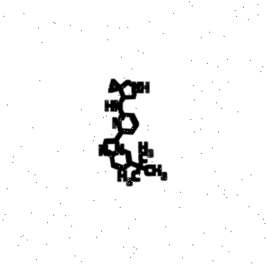 CC(C)(C)c1ccc2ncc(-c3cccc(NC4CNCC45CC5)n3)n2c1